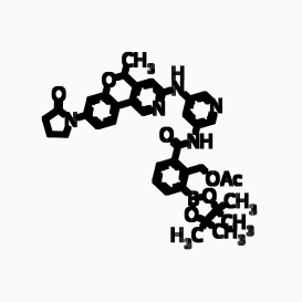 CC(=O)OCc1c(B2OC(C)(C)C(C)(C)O2)cccc1C(=O)Nc1cncc(Nc2cc3c(cn2)-c2ccc(N4CCCC4=O)cc2OC3C)c1